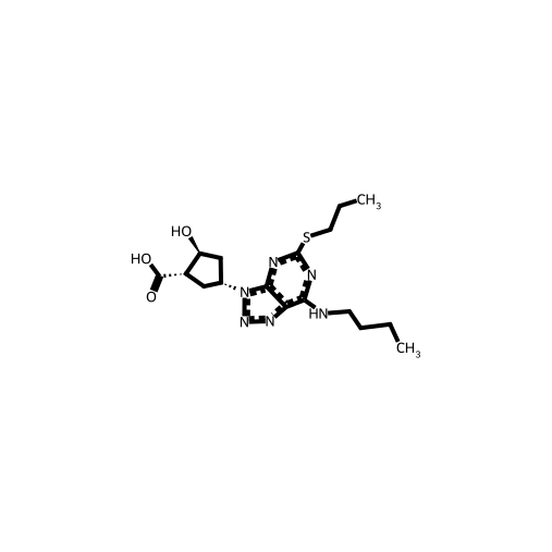 CCCCNc1nc(SCCC)nc2c1nnn2[C@@H]1C[C@H](C(=O)O)[C@@H](O)C1